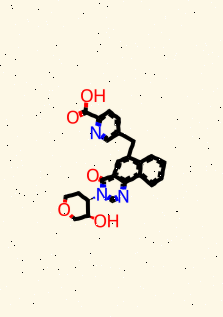 O=C(O)c1ccc(Cc2cc3c(=O)n([C@H]4CCOC[C@@H]4O)cnc3c3ccccc23)cn1